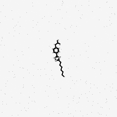 CCCCCCCc1nc(-c2ccc(CC(C)C)cc2)no1